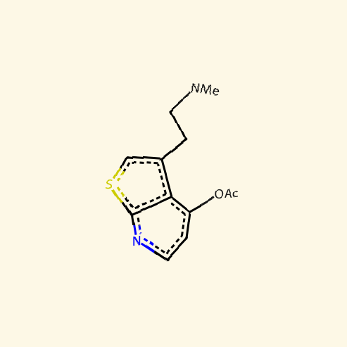 CNCCc1csc2nccc(OC(C)=O)c12